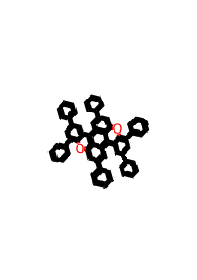 c1ccc(-c2cc(-c3ccccc3)c3oc4cc(-c5ccccc5)cc5c4c(c3c2)c2cc(-c3ccccc3)cc3oc4c(-c6ccccc6)cc(-c6ccccc6)cc4c5c32)cc1